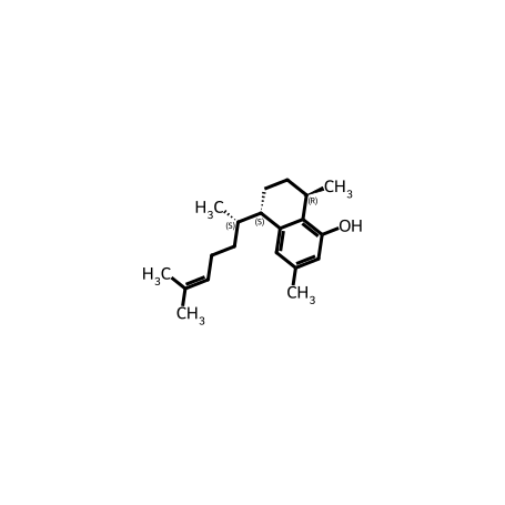 CC(C)=CCC[C@H](C)[C@@H]1CC[C@@H](C)c2c(O)cc(C)cc21